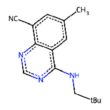 Cc1cc(C#N)c2ncnc(NCC(C)(C)C)c2c1